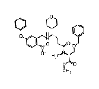 COC(=O)C(COCc1ccccc1)N(C)C(=O)CC[C@H](NCc1cc(Oc2ccccc2)ccc1[N+](=O)[O-])C1CCOCC1